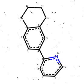 c1ccc(-c2ccc3c(c2)CCCC3)nc1